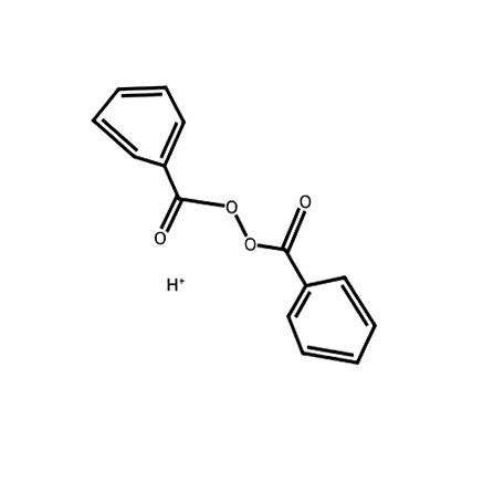 O=C(OOC(=O)c1ccccc1)c1ccccc1.[H+]